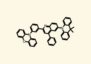 CC1(C)c2ccccc2N(c2ccc3nc(-c4cccc(N5c6ccccc6Oc6ccccc65)c4)cc(-c4ccccc4)c3c2)c2ccccc21